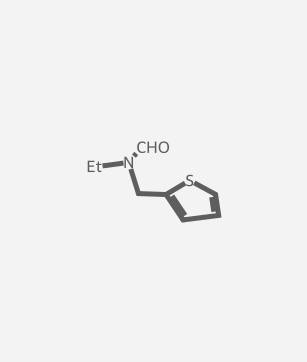 CCN(C=O)Cc1cccs1